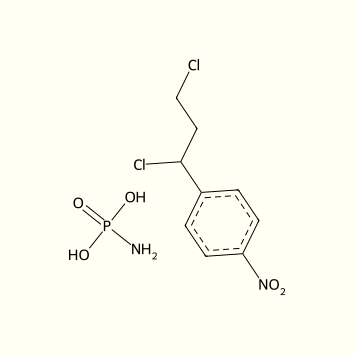 NP(=O)(O)O.O=[N+]([O-])c1ccc(C(Cl)CCCl)cc1